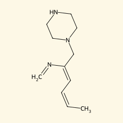 C=N/C(=C\C=C/C)CN1CCNCC1